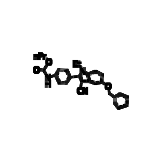 CCCOC(=O)Nc1ccc(-c2c(C#N)c3cc(OCc4ccccc4)ccc3n2CC)cc1